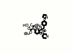 CC(C)(C)OC(=O)N(c1cccc(C(N)(Cc2ccc(-n3cccn3)cc2)S(=O)(=O)c2cccnc2)n1)C(C(=O)O)C(C)(C)C